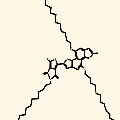 CCCCCCCCCCCCOc1cc2cc(-c3sc(C)c4c3C(=O)N(CCCCCCCCCCCC)C4=O)sc2c2c(OCCCCCCCCCCCC)cc3cc(C)sc3c12